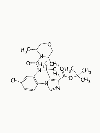 CC1COCC(C)N1C(=O)N1c2cc(Cl)ccc2-n2cnc(C(=O)OC(C)(C)C)c2C1(C)C